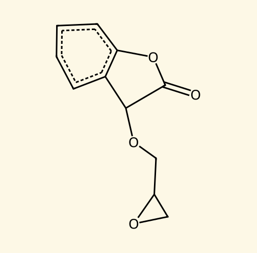 O=C1Oc2ccccc2C1OCC1CO1